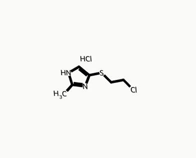 Cc1nc(SCCCl)c[nH]1.Cl